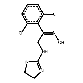 ON=C(CNC1=NCCN1)c1c(Cl)cccc1Cl